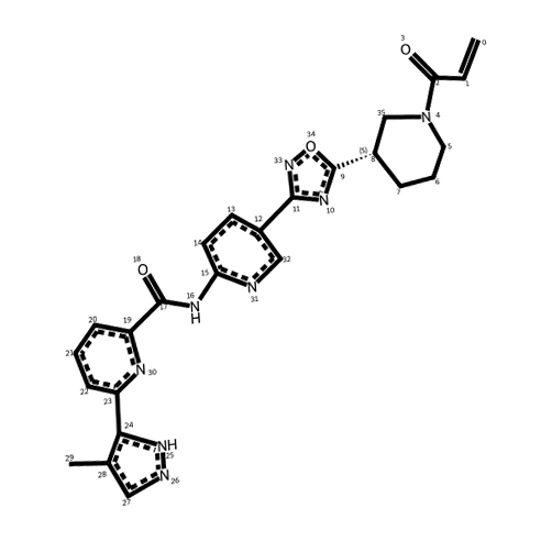 C=CC(=O)N1CCC[C@H](c2nc(-c3ccc(NC(=O)c4cccc(-c5[nH]ncc5C)n4)nc3)no2)C1